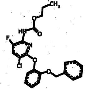 CCCOC(=O)Nc1nc(Oc2ccccc2OCc2ccccc2)c(Cl)cc1F